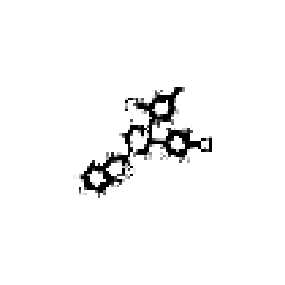 Cc1ccc(N2CCN(C(=O)Cc3ccccc3F)CC2c2ccc(Cl)cc2)c(Cl)c1